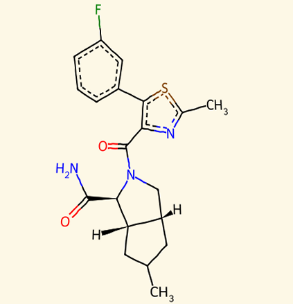 Cc1nc(C(=O)N2C[C@@H]3CC(C)C[C@@H]3[C@H]2C(N)=O)c(-c2cccc(F)c2)s1